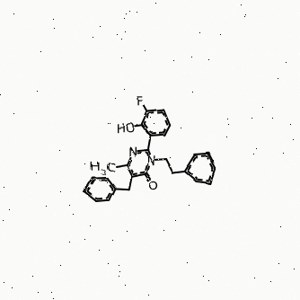 Cc1nc(-c2cccc(F)c2O)n(CCc2ccccc2)c(=O)c1Cc1ccccc1